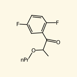 CCCOC(C)C(=O)c1cc(F)ccc1F